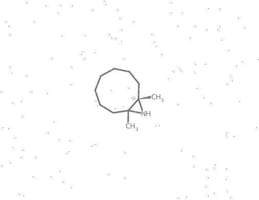 CC12CCCCCCC[C@]1(C)N2